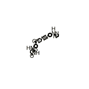 O=C1CCC(Nc2cccc(C(=O)N3CCC(N4CCN(c5ccc(Nc6ncccn6)cc5)CC4)CC3)c2)C(=O)N1